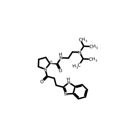 CC(C)N(CCNC(=O)[C@@H]1CCCN1C(=O)CCc1nc2ccccc2[nH]1)C(C)C